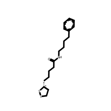 O=C(CCCC[C@@H]1CCSS1)NCCCCc1ccccc1